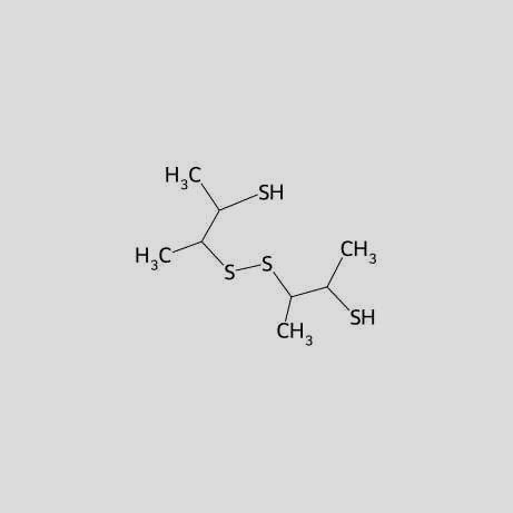 CC(S)C(C)SSC(C)C(C)S